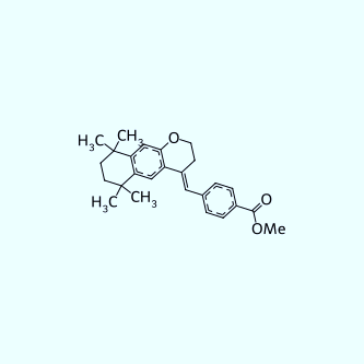 COC(=O)c1ccc(C=C2CCOc3cc4c(cc32)C(C)(C)CCC4(C)C)cc1